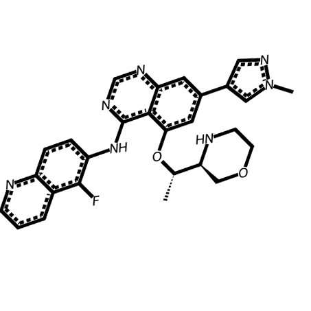 C[C@H](Oc1cc(-c2cnn(C)c2)cc2ncnc(Nc3ccc4ncccc4c3F)c12)[C@@H]1COCCN1